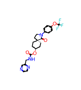 O=C(NCc1cnccn1)O[C@H]1CC[C@@]2(CCN(c3ccc(OC(F)(F)F)cc3)C2=O)CC1